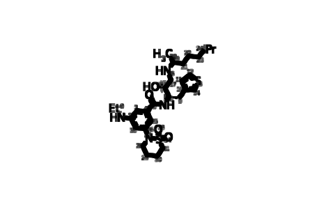 CCNc1cc(C(=O)N[C@@H](Cc2ccsc2)[C@H](O)CNC(C)CCCC(C)C)cc(N2CCCCS2(=O)=O)c1